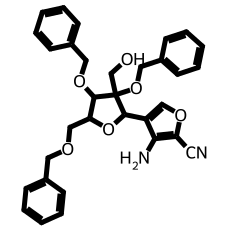 N#Cc1occ(C2OC(COCc3ccccc3)C(OCc3ccccc3)C2(CO)OCc2ccccc2)c1N